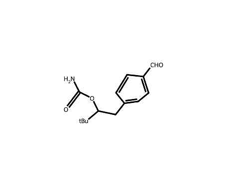 CC(C)(C)C(Cc1ccc(C=O)cc1)OC(N)=O